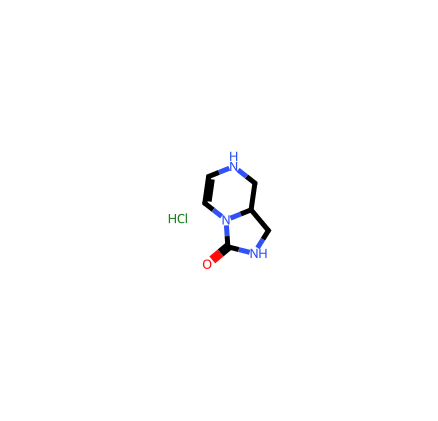 Cl.O=C1NCC2CNC=CN12